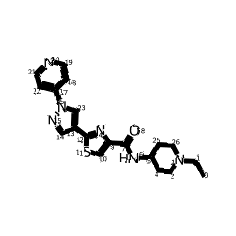 CCN1CCC(NC(=O)c2csc(-c3cnn(-c4ccncc4)c3)n2)CC1